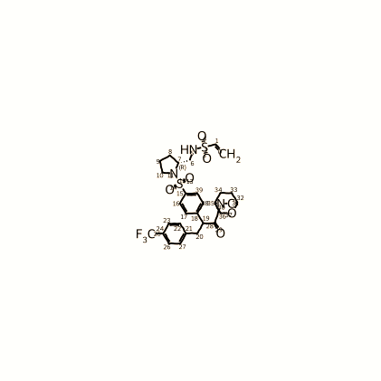 C=CS(=O)(=O)NC[C@H]1CCCN1S(=O)(=O)c1ccc(C(Cc2ccc(C(F)(F)F)cc2)C(=O)N2CC3CCC2CO3)cc1